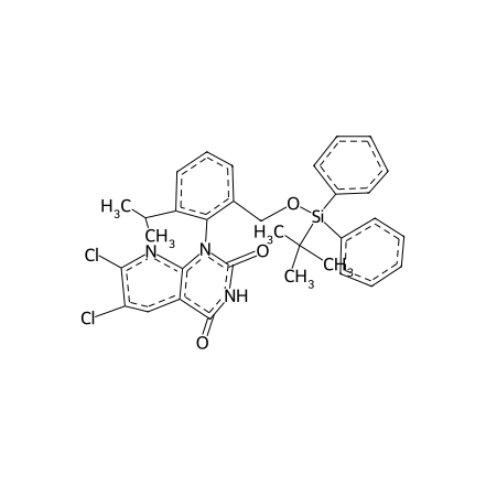 CC(C)c1cccc(CO[Si](c2ccccc2)(c2ccccc2)C(C)(C)C)c1-n1c(=O)[nH]c(=O)c2cc(Cl)c(Cl)nc21